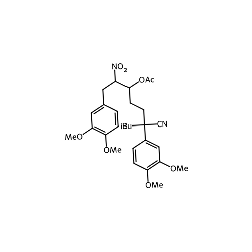 CCC(C)C(C#N)(CCC(OC(C)=O)C(Cc1ccc(OC)c(OC)c1)[N+](=O)[O-])c1ccc(OC)c(OC)c1